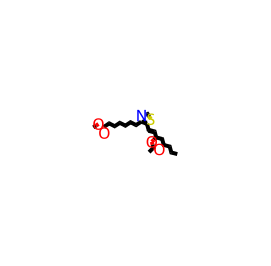 CCCCCC(/C=C/c1scnc1CCCCCCC(=O)OC)OC(C)=O